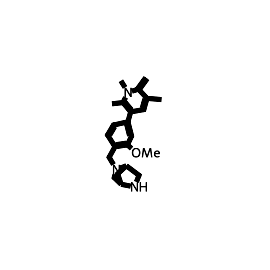 C=C1C(C)=CC(c2ccc(CN3CC4CC3CN4)c(OC)c2)=C(C)N1C